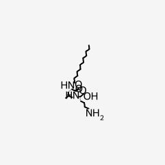 CCCCCCCCCCCC(=O)N[C@@H](CC(C)C)C(=O)N[C@@H](CCCCN)C(=O)O